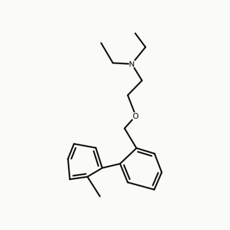 CCN(CC)CCOCc1ccccc1-c1ccccc1C